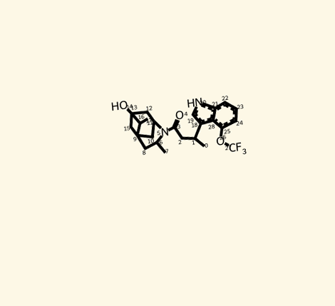 CC(CC(=O)N1C(C)CC23CC1CC(O)(C2)C3C)c1c[nH]c2cccc(OC(F)(F)F)c12